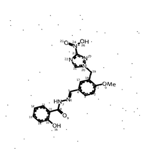 COc1ccc(/C=N/NC(=O)c2ccccc2O)cc1Cn1cnc([N+](=O)O)n1